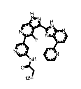 CC(C)(C)CC(=O)Nc1cncc(-c2ncc3[nH]nc(-c4nc5c(-c6ccccn6)ccnc5[nH]4)c3c2F)c1